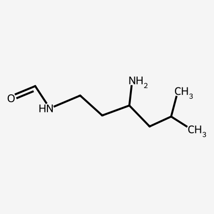 CC(C)CC(N)CCNC=O